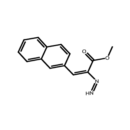 COC(=O)/C(=C\c1ccc2ccccc2c1)N=N